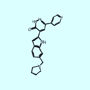 O=c1[nH]nc(-c2ccncc2)cc1-c1cc2ccc(CN3CCCC3)cc2[nH]1